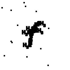 C=COCCCCON(C)COC(C)(C)C/C=C\CC